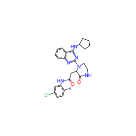 O=C(CC1C(=O)NCCN1c1nc(NC2CCCC2)c2ccccc2n1)Nc1cc(Cl)ccc1I